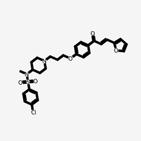 CN(C1CCN(CCCOc2ccc(C(=O)C=Cc3ccco3)cc2)CC1)S(=O)(=O)c1ccc(Cl)cc1